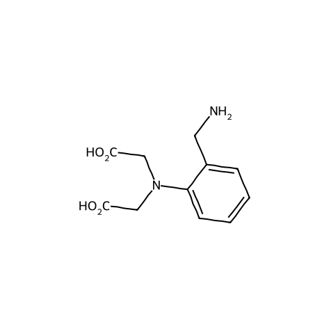 NCc1ccccc1N(CC(=O)O)CC(=O)O